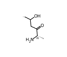 [CH2]C(O)CC(=O)[C@H](C)N